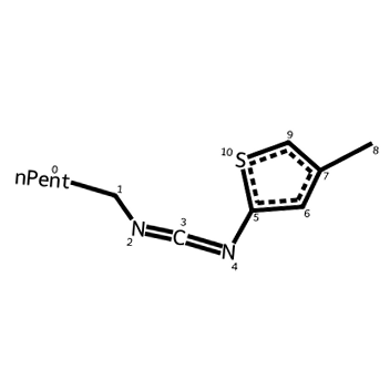 CCCCCCN=C=Nc1cc(C)cs1